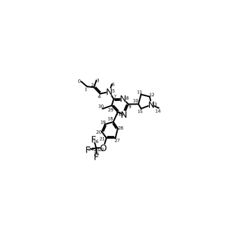 CC/C(C)=C/N(C)c1nc(C2CCN(C)C2)nc(-c2ccc(OC(F)(F)F)cc2)c1C